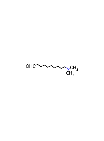 CN(C)CCCCCCCCCC=O